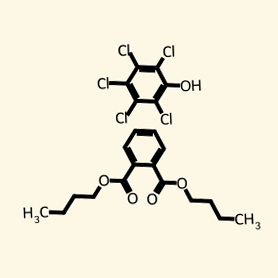 CCCCOC(=O)c1ccccc1C(=O)OCCCC.Oc1c(Cl)c(Cl)c(Cl)c(Cl)c1Cl